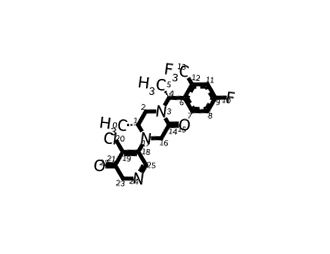 C[C@@H]1CN([C@H](C)c2ccc(F)cc2C(F)(F)F)C(=O)CN1C1=C(Cl)C(=O)CN=C1